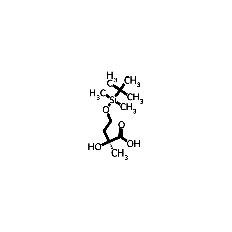 CC(C)(C)[Si](C)(C)OCC[C@](C)(O)C(=O)O